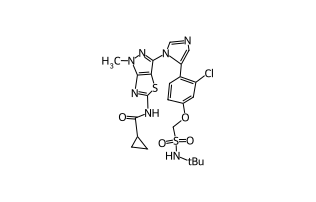 Cn1nc(-n2cncc2-c2ccc(OCS(=O)(=O)NC(C)(C)C)cc2Cl)c2sc(NC(=O)C3CC3)nc21